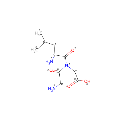 CC(C)CC(N)C(=O)N(CC(=O)O)C(=O)CN